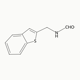 O=[C]NCc1cc2ccccc2s1